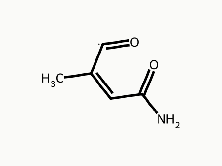 CC([C]=O)=CC(N)=O